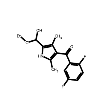 CCOC(O)c1[nH]c(C)c(C(=O)c2cc(F)ccc2F)c1C